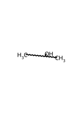 CCCCCCCCCCCCCCCC(CO)CCCCCCCCC